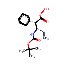 CC[C@H](NC(=O)OC(C)(C)C)[C@@H](C(=O)OO)c1ccccc1